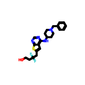 OCCC(F)(F)Cc1cc2c(NC3CCN(Cc4ccccc4)CC3)ncnc2s1